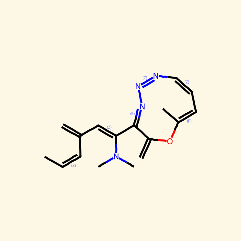 C=C(/C=C\C)/C=C(/C1=N\N=N/C=C\C=C(/C)OC1=C)N(C)C